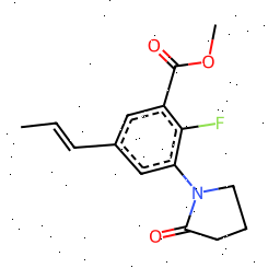 CC=Cc1cc(C(=O)OC)c(F)c(N2CCCC2=O)c1